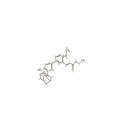 CCOC(=O)/C=C/c1cc(-c2ccc(O)c(C34CC5CC(CC(C5)C3)C4)c2)ccc1OC